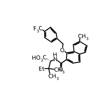 CCC(C)(C)[C@@H](NC(=O)c1ccc2ccc(C)cc2c1OCc1ccc(C(F)(F)F)cc1)C(=O)O